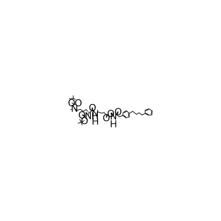 CN(CCCC[C@H](NC(=O)OC(C)(C)C)C(=O)NCCCC(=O)ONC(=O)Cc1ccc(CCCCc2ccccc2)cc1)C(=O)OC(C)(C)C